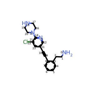 NCCc1ccccc1C#Cc1cnc(N2CCNCC2)c(Cl)c1